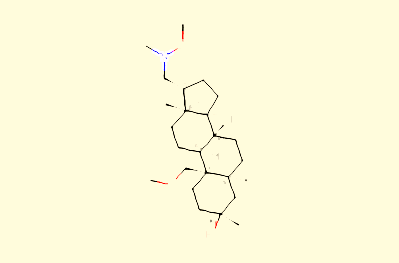 COC[C@]12CC[C@@](C)(O)C[C@@H]1CC[C@H]1[C@@H]3CC[C@H](CN(C)OC)[C@@]3(C)CC[C@@H]12